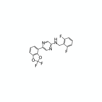 Fc1cccc(F)c1CNc1cnc(-c2cccc3c2OC(F)(F)O3)cn1